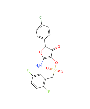 NC1=C(OS(=O)(=O)Cc2cc(F)ccc2F)C(=O)C(c2ccc(Cl)cc2)O1